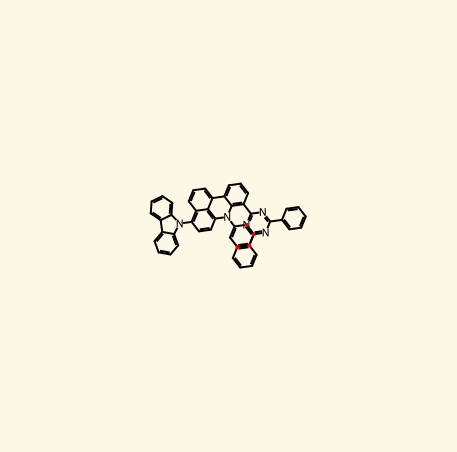 c1ccc(-c2nc(-c3ccccc3)nc(-c3cccc4c3N(c3ccccc3)c3ccc(-n5c6ccccc6c6ccccc65)c5cccc-4c35)n2)cc1